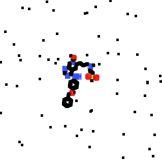 CON1C=c2ncnc(Nc3ccc(OCc4ccccc4)cc3)c2=CC1CCCN(C)CCS(C)(=O)=O